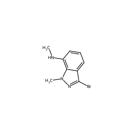 CNc1cccc2c(Br)nn(C)c12